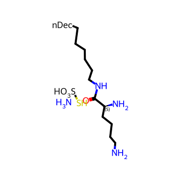 CCCCCCCCCCCCCCCCNC(=O)[C@@H](N)CCCCN.N.O=S(=O)(O)S